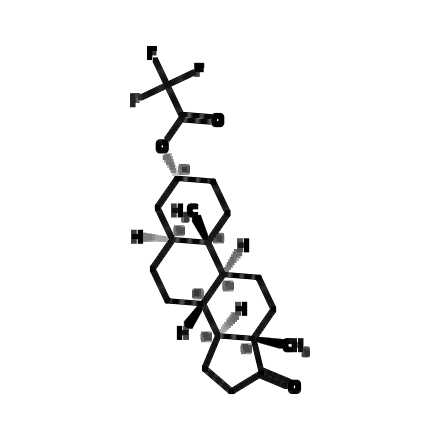 C[C@]12CC[C@@H](OC(=O)C(F)(F)F)C[C@@H]1CC[C@@H]1[C@@H]2CC[C@]2(C)C(=O)CC[C@@H]12